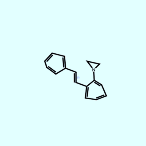 C(=C\c1ccccc1N1CC1)/c1ccccc1